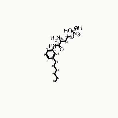 CCCCCCc1cccc(NC(=O)C(N)CCOP(=O)(O)O)c1